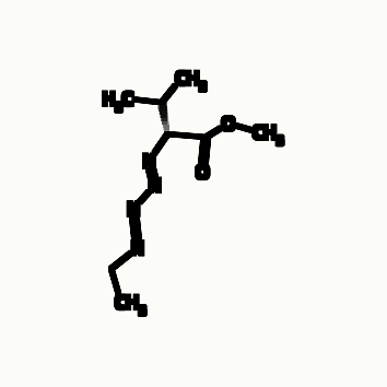 CCN=NN=N[C@@H](C(=O)OC)C(C)C